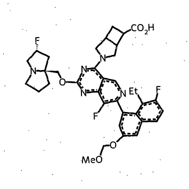 CCc1c(F)ccc2cc(OCOC)cc(-c3ncc4c(N5CC6CC(C(=O)O)C6C5)nc(OC[C@@]56CCCN5C[C@H](F)C6)nc4c3F)c12